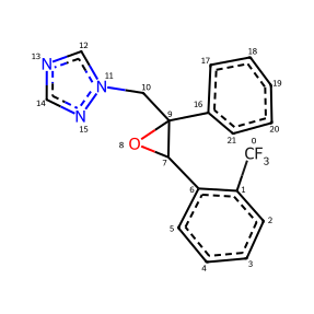 FC(F)(F)c1ccccc1C1OC1(Cn1cncn1)c1ccccc1